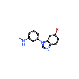 CNc1cccc(-n2cnc3ccc(Br)cc32)c1